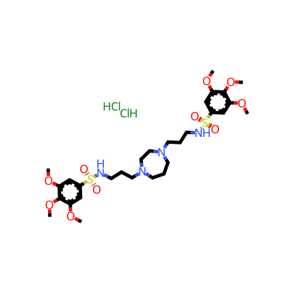 COc1cc(S(=O)(=O)NCCCN2CCCN(CCCNS(=O)(=O)c3cc(OC)c(OC)c(OC)c3)CC2)cc(OC)c1OC.Cl.Cl